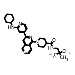 CC(C)(C)CNC(=O)C1CCN(c2nc(-c3ccnc(NC4CCCCC4)c3)cc3cnccc23)CC1